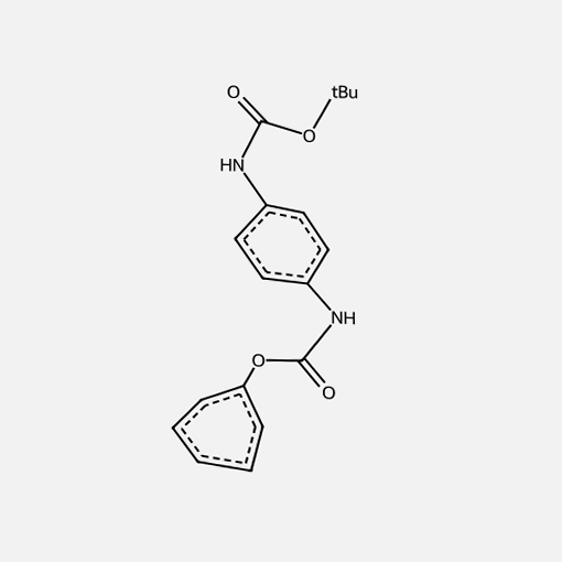 CC(C)(C)OC(=O)Nc1ccc(NC(=O)Oc2ccccc2)cc1